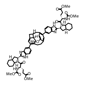 COC(=O)CC[C@H](NC(=O)OC)C(=O)N1[C@H](c2nc3cc(C4=C5CCc6cc(-c7ccc8[nH]c([C@@H]9C[C@@H]%10CCCC[C@@H]%10N9C(=O)[C@H](CCC(=O)OC)NC(=O)OC)nc8c7)c(cc6OC)C[C@H]6CC(=C4)[C@H]6C5)ccc3[nH]2)C[C@@H]2CCCC[C@@H]21